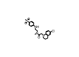 CN(CCNc1ccc(S(C)(=O)=O)cc1)C(=O)CN1CCCc2cc(Cl)ccc21